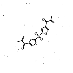 C=C(C)C(=O)c1csc(S(=O)(=O)c2cc(C(=O)C(=C)C)cs2)c1